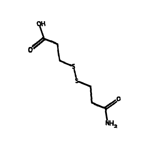 NC(=O)CCSSCCC(=O)O